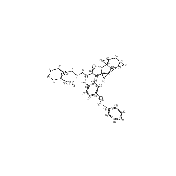 CC1CCCCN1CCCN(Cc1ccc(OCc2ccccc2)cc1)C(=O)NC12CC34CC3CC3CC35C4C15C2